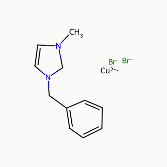 CN1C=CN(Cc2ccccc2)C1.[Br-].[Br-].[Cu+2]